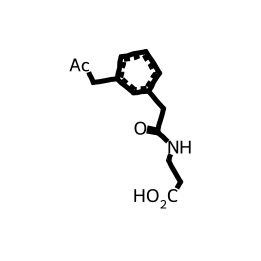 CC(=O)Cc1cccc(CC(=O)NCCC(=O)O)c1